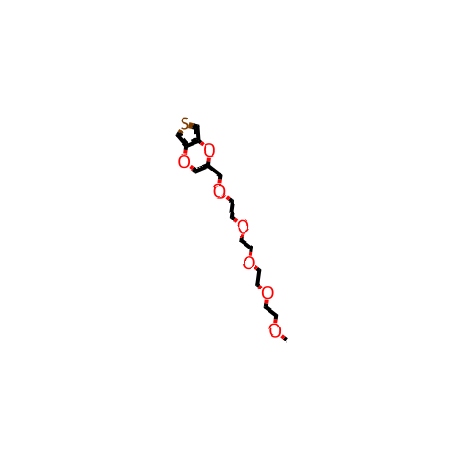 COCCOCCOCCOCCOCC1COc2cscc2O1